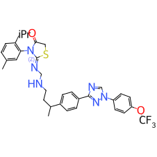 Cc1ccc(C(C)C)c(N2C(=O)CS/C2=N\CNCCC(C)c2ccc(-c3ncn(-c4ccc(OC(F)(F)F)cc4)n3)cc2)c1